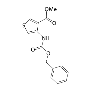 COC(=O)c1cscc1NC(=O)OCc1ccccc1